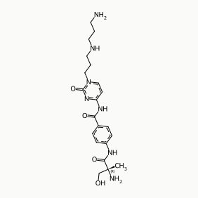 C[C@@](N)(CO)C(=O)Nc1ccc(C(=O)Nc2ccn(CCCNCCCN)c(=O)n2)cc1